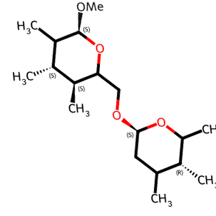 CO[C@H]1OC(CO[C@@H]2CC(C)[C@@H](C)C(C)O2)[C@@H](C)[C@H](C)C1C